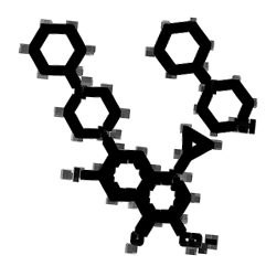 C1CCC(N2CCNCC2)CC1.O=C(O)c1cn(C2CC2)c2cc(N3CCN(C4CCCCC4)CC3)c(F)cc2c1=O